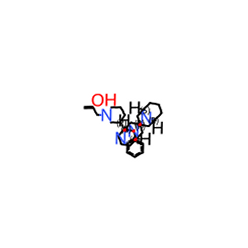 C=C(O)CN1CCC[C@@H](c2nc3ccccc3n2[C@H]2C[C@H]3CCC[C@@H](C2)N3[C@H]2C[C@@H]3CCC[C@@H](C3)C2)C1